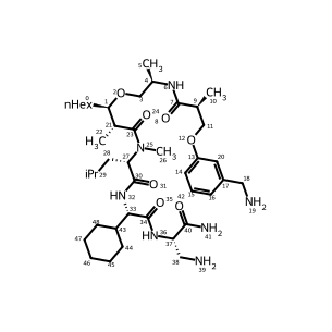 CCCCCC[C@@H](OC[C@@H](C)NC(=O)[C@@H](C)COc1cccc(CN)c1)[C@@H](C)C(=O)N(C)[C@@H](CC(C)C)C(=O)N[C@H](C(=O)N[C@@H](CN)C(N)=O)C1CCCCC1